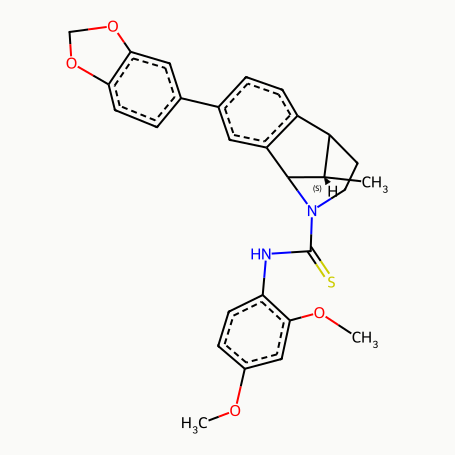 COc1ccc(NC(=S)N2CCC3c4ccc(-c5ccc6c(c5)OCO6)cc4C2[C@H]3C)c(OC)c1